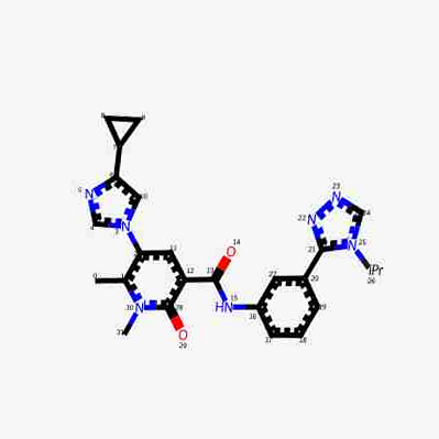 Cc1c(-n2cnc(C3CC3)c2)cc(C(=O)Nc2cccc(-c3nncn3C(C)C)c2)c(=O)n1C